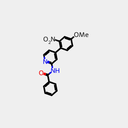 COc1ccc(-c2ccnc(NC(=O)c3ccccc3)c2)c([N+](=O)[O-])c1